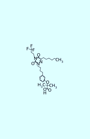 CCCCCCc1nn(CCCCc2cccc(OC(C)(C)C(=O)O)c2)c(=O)n(CCCC(F)(F)F)c1=O